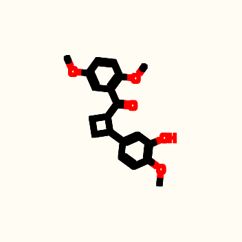 COc1ccc(OC)c(C(=O)C2CCC2c2ccc(OC)c(O)c2)c1